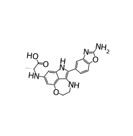 C[C@@H](Nc1cc2c3c(c(-c4ccc5oc(N)nc5c4)[nH]c3c1)NCCO2)C(=O)O